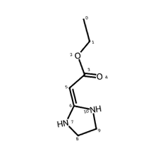 CCOC(=O)C=C1NCCN1